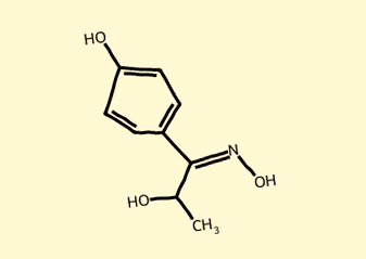 CC(O)C(=NO)c1ccc(O)cc1